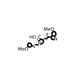 COc1cccc(SCCN2CC[C@@H](CC[C@@H](F)c3ccnc4ccc(OC)cc34)[C@@H](C(=O)O)C2)c1